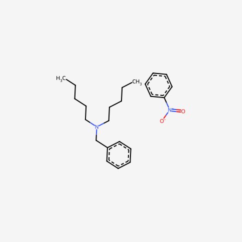 CCCCCN(CCCCC)Cc1ccccc1.O=[N+]([O-])c1ccccc1